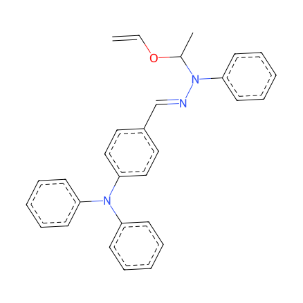 C=COC(C)N(N=Cc1ccc(N(c2ccccc2)c2ccccc2)cc1)c1ccccc1